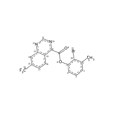 Cc1cccc(OC(=O)c2ncnc3cc(C(F)(F)F)ccc23)c1Br